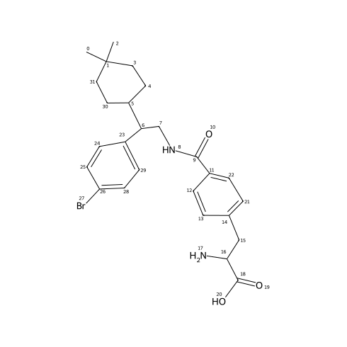 CC1(C)CCC(C(CNC(=O)c2ccc(CC(N)C(=O)O)cc2)c2ccc(Br)cc2)CC1